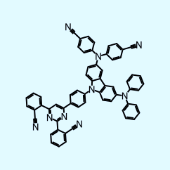 N#Cc1ccc(N(c2ccc(C#N)cc2)c2ccc3c(c2)c2cc(N(c4ccccc4)c4ccccc4)ccc2n3-c2ccc(-c3cc(-c4ccccc4C#N)nc(-c4ccccc4C#N)n3)cc2)cc1